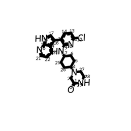 O=C1CN(C2CCC(Nc3nc(Cl)ccc3-c3c[nH]c4ncccc34)CC2)CCN1